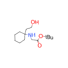 CC(C)(C)OC(=O)CNC1(CCO)CCCCC1